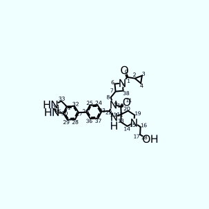 O=C(C1CC1)N1CC(CN2C(=O)C3(CCN(CCO)CC3)NC2c2ccc(-c3ccc4c(c3)CNN4)cc2)C1